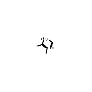 C=CC(=O)O.FC=C(F)F